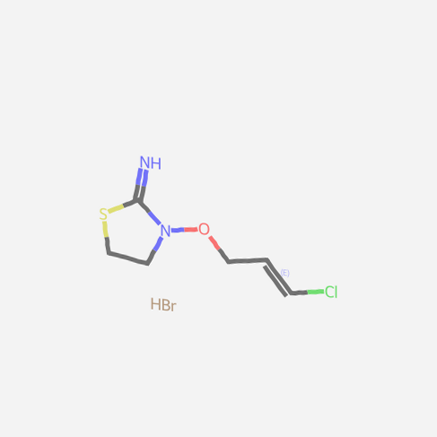 Br.N=C1SCCN1OC/C=C/Cl